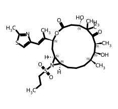 CCCS(=O)(=O)N1[C@@H]2CCC[C@H](C)[C@H](O)[C@H](C)C(=O)C(C)(C)[C@@H](O)CC(=O)O[C@H](C(C)=Cc3csc(C)n3)C[C@@H]21